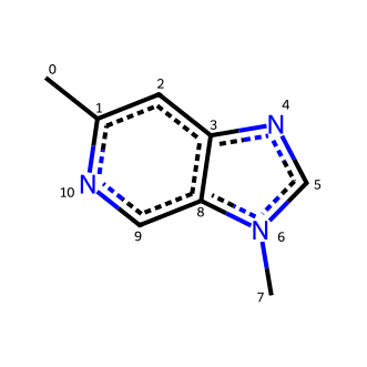 Cc1cc2ncn(C)c2cn1